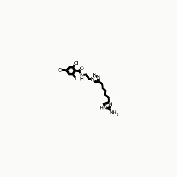 Nc1nc(CCCCCc2cn(CCNC(=O)c3c(Cl)cc(Cl)cc3I)nn2)c[nH]1